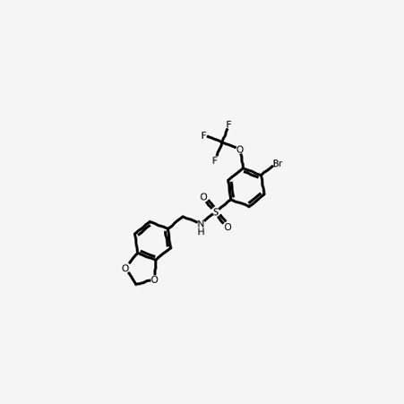 O=S(=O)(NCc1ccc2c(c1)OCO2)c1ccc(Br)c(OC(F)(F)F)c1